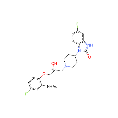 CC(=O)Nc1cc(F)ccc1OC[C@H](O)CN1CCC(n2c(=O)[nH]c3cc(F)ccc32)CC1